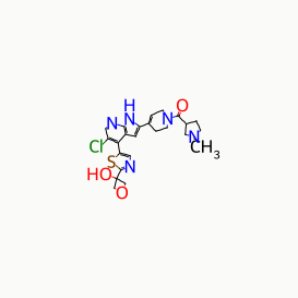 CN1CCC(C(=O)N2CC=C(c3cc4c(-c5cnc(C6(O)COC6)s5)c(Cl)cnc4[nH]3)CC2)C1